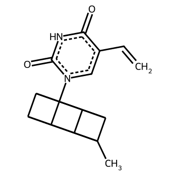 C=Cc1cn(C23C4C5C2C2C3C4C52C)c(=O)[nH]c1=O